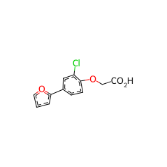 O=C(O)COc1ccc(-c2ccco2)cc1Cl